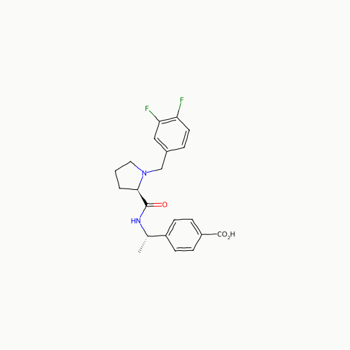 C[C@H](NC(=O)[C@H]1CCCN1Cc1ccc(F)c(F)c1)c1ccc(C(=O)O)cc1